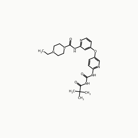 CCN1CCN(C(=O)Nc2cc(Oc3ccc(NC(=O)NC(=O)C(C)(C)C)nc3)ccn2)CC1